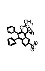 CC(=O)Oc1c(-c2ccccc2)c(-c2ccccc2)c2ccc([N+](=O)[O-])cc2c1[N+](=O)[O-]